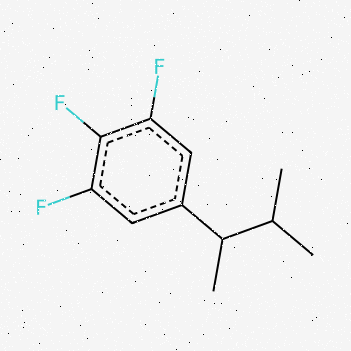 CC(C)C(C)c1cc(F)c(F)c(F)c1